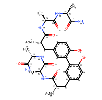 CC(=O)N[C@@H](Cc1ccc(O)c(-c2cc(C[C@H](NC(C)=O)C(=O)N[C@@H](C)C(=O)N[C@@H](C)C(N)=O)ccc2O)c1)C(=O)N[C@@H](C)C(=O)N[C@@H](C)C(N)=O